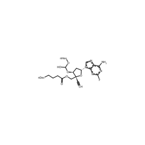 C#C[C@]1(COC(=O)CCCCCCCCCCCCC)O[C@@H](n2cnc3c(N)nc(F)nc32)C[C@@H]1OC(O)OCCCCCC